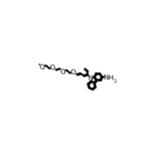 C=C/C(=C\C=C\OCCOCCOCCOC)n1c2ccccc2c2cc(N)ccc21